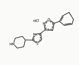 C1=CC(c2cc(-c3csc(C4CCNCC4)n3)no2)=CCC1.Cl